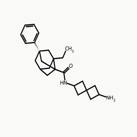 CCC12CC3CC1(C(=O)NC1CC4(CC(N)C4)C1)C[C@@](c1ccccc1)(C3)C2